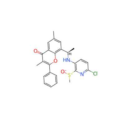 Cc1cc([C@@H](C)Nc2ccc(Cl)nc2[S+](C)[O-])c2oc(-c3ccccc3)c(C)c(=O)c2c1